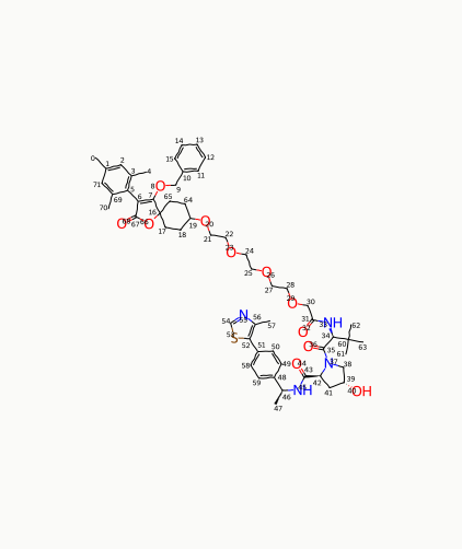 Cc1cc(C)c(C2=C(OCc3ccccc3)C3(CCC(OCCOCCOCCOCC(=O)N[C@H](C(=O)N4C[C@H](O)C[C@H]4C(=O)N[C@@H](C)c4ccc(-c5scnc5C)cc4)C(C)(C)C)CC3)OC2=O)c(C)c1